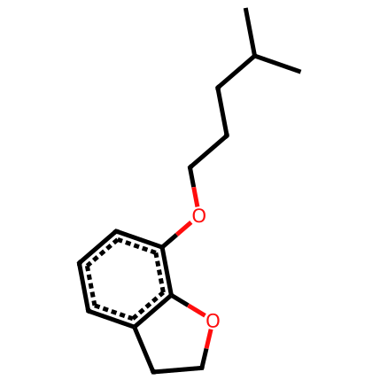 CC(C)CCCOc1cccc2c1OCC2